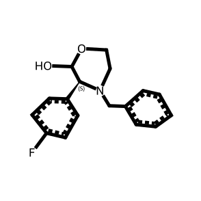 OC1OCCN(Cc2ccccc2)[C@H]1c1ccc(F)cc1